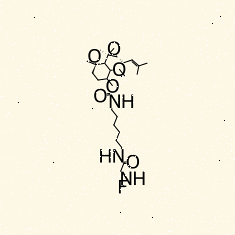 COC1C(OC(=O)NCCCCCCNC(=O)CNF)CC[C@]2(CO2)C1[C@@]1(C)O[C@@H]1CC=C(C)C